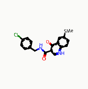 CSc1ccc2[nH]cc(C(=O)NCc3ccc(Cl)cc3)c(=O)c2c1